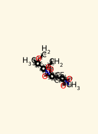 C=CCOc1cc(-c2ccc(N3C(=O)c4ccc(C(c5ccc6c(c5)C(=O)N(C)C6=O)(C(F)(F)F)C(F)(F)F)cc4C3=O)c(OCC=C)c2)ccc1C